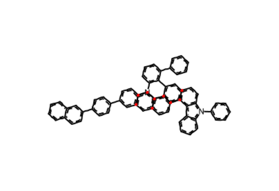 c1ccc(-c2ccccc2-c2c(-c3ccccc3)cccc2N(c2ccc(-c3ccc(-c4ccc5ccccc5c4)cc3)cc2)c2cccc(-c3cccc4c3c3ccccc3n4-c3ccccc3)c2)cc1